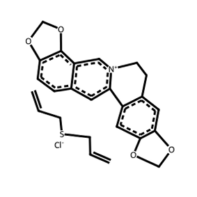 C=CCSCC=C.[Cl-].c1c2c(cc3c1OCO3)-c1cc3ccc4c(c3c[n+]1CC2)OCO4